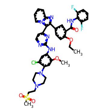 CCOc1ccc(-c2nc3ccccn3c2-c2ccnc(Nc3cc(Cl)c(N4CCN(CCS(C)(=O)=O)CC4)cc3OC)n2)cc1C(=O)Nc1c(F)cccc1F